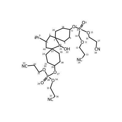 CC(C)C1CC2(CCC(OP(=O)(COCCC#N)OCCC#N)CC2)N(O)C2(CCC(OP(=O)(OCCC#N)OCCC#N)CC2)C1